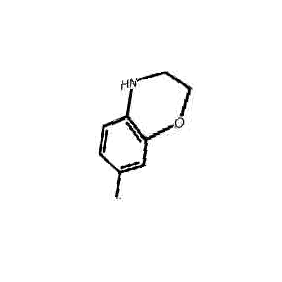 [CH2]c1ccc2c(c1)OCCN2